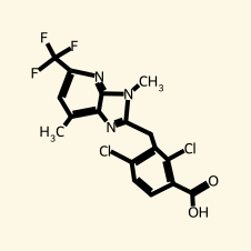 Cc1cc(C(F)(F)F)nc2c1nc(Cc1c(Cl)ccc(C(=O)O)c1Cl)n2C